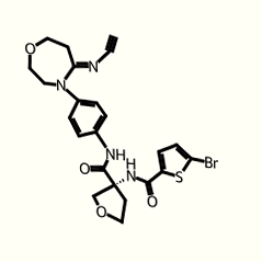 C#C/N=C1\CCOCCN1c1ccc(NC(=O)[C@@]2(NC(=O)c3ccc(Br)s3)CCOC2)cc1